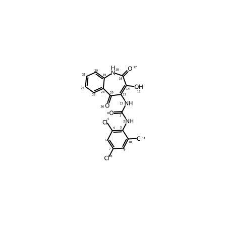 O=C(Nc1c(Cl)cc(Cl)cc1Cl)Nc1c(O)c(=O)[nH]c2ccccc2c1=O